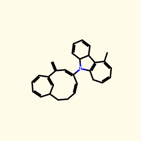 C=C1/C=C(N2C3=C(C(C)=CC=CC3)C3C=CC=CC32)\C=C/CCC2C=CC=CC1=C2